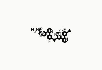 N#Cc1cnc2c(C3CC3c3cc(-c4ncccc4-c4ccc5ncc(C(N)=O)n5c4)ccc3F)cc(-c3cccnc3-c3ccc(F)c(C4CC4)c3)cn12